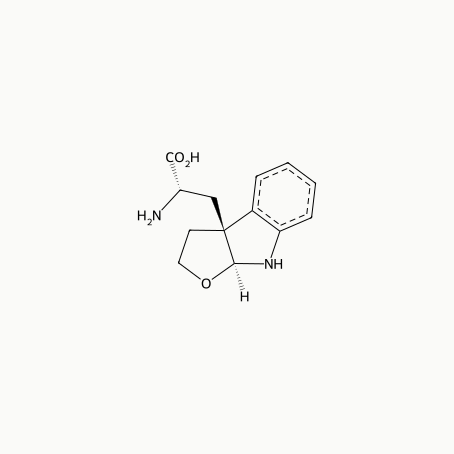 N[C@@H](C[C@]12CCO[C@@H]1Nc1ccccc12)C(=O)O